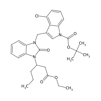 CCCC(CC(=O)OCC)n1c(=O)n(Cc2cn(C(=O)OC(C)(C)C)c3cccc(Cl)c23)c2ccccc21